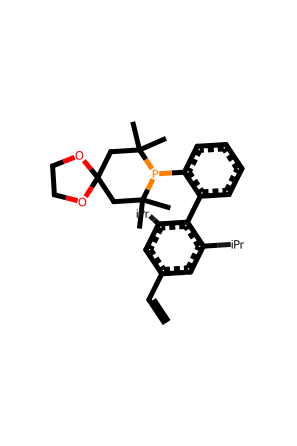 C=Cc1cc(C(C)C)c(-c2ccccc2P2C(C)(C)CC3(CC2(C)C)OCCO3)c(C(C)C)c1